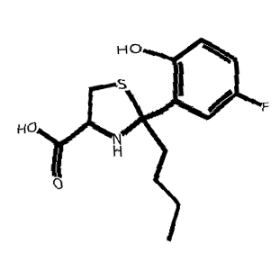 CCCCC1(c2cc(F)ccc2O)NC(C(=O)O)CS1